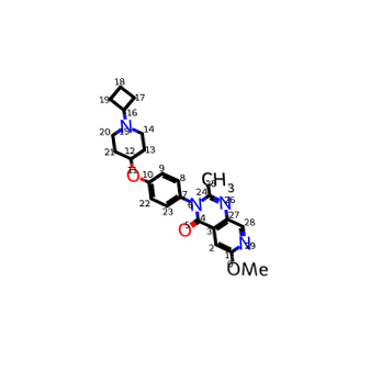 COc1cc2c(=O)n(-c3ccc(OC4CCN(C5CCC5)CC4)cc3)c(C)nc2cn1